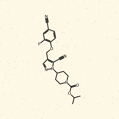 CC(C)OC(=O)N1CCC(n2ncc(COc3ccc(C#N)cc3F)c2C#N)CC1